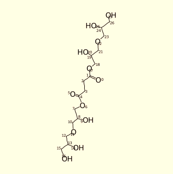 O=C(CCC(=O)OCC(O)COCC(O)CO)OCC(O)COCC(O)CO